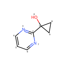 OC1(c2ncccn2)CC1